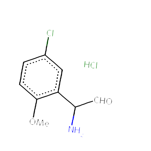 COc1ccc(Cl)cc1C(N)C=O.Cl